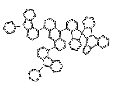 c1ccc(-p2c3ccccc3c3c(-c4cccc5c(-c6cccc7c6-c6ccccc6C76c7ccccc7-c7c6c6ccccc6c6ccccc76)c6cccc(-c7cccc8c7c7ccccc7p8-c7ccccc7)c6cc45)cccc32)cc1